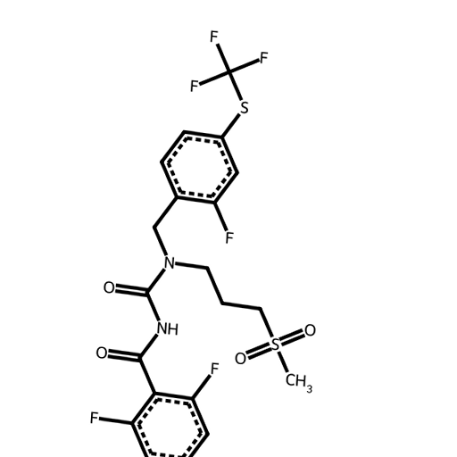 CS(=O)(=O)CCCN(Cc1ccc(SC(F)(F)F)cc1F)C(=O)NC(=O)c1c(F)cccc1F